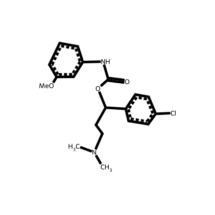 COc1cccc(NC(=O)OC(CCN(C)C)c2ccc(Cl)cc2)c1